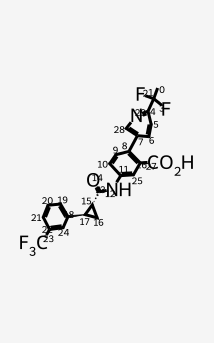 CC(F)(F)c1ccc(-c2ccc(NC(=O)[C@@H]3C[C@H]3c3cccc(C(F)(F)F)c3)cc2C(=O)O)cn1